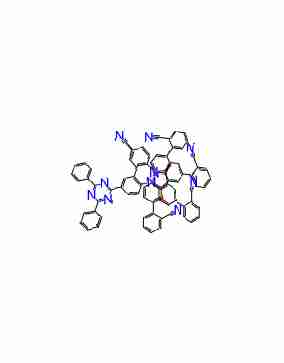 N#Cc1ccc(-n2c3ccc(-c4ccccc4C#N)cc3c3cc(-c4ccccc4C#N)ccc32)c(-c2cc(-c3nc(-c4ccccc4)nc(-c4ccccc4)n3)ccc2-n2c3ccc(-c4ccccc4C#N)cc3c3cc(-c4ccccc4C#N)ccc32)c1